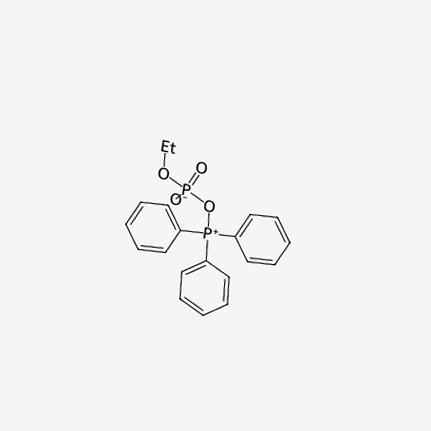 CCOP(=O)([O-])O[P+](c1ccccc1)(c1ccccc1)c1ccccc1